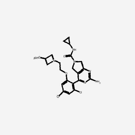 COC1CN(CCOc2cc(Cl)cc(Cl)c2-c2nc(N)nc3c2CN(C(=O)NC2CC2)C3)C1